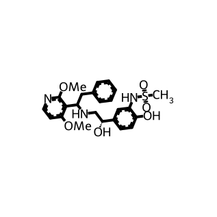 COc1ccnc(OC)c1C(Cc1ccccc1)NC[C@@H](O)c1ccc(O)c(NS(C)(=O)=O)c1